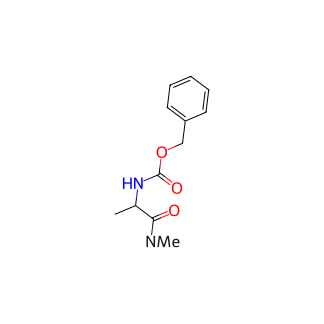 CNC(=O)C(C)NC(=O)OCc1ccccc1